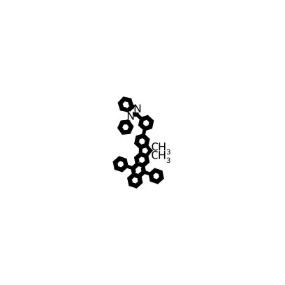 CC1(C)c2cc(-c3cccc(-c4nc5ccccc5n4-c4ccccc4)c3)ccc2-c2cc3c(-c4ccccc4)c4ccccc4c(-c4ccccc4)c3cc21